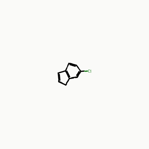 Clc1ccc2c(c1)CC=C2